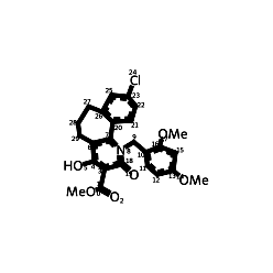 COC(=O)c1c(O)c2c(n(Cc3ccc(OC)cc3OC)c1=O)-c1ccc(Cl)cc1CCC2